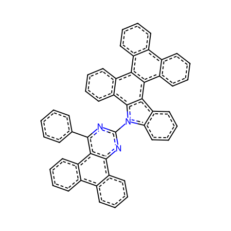 c1ccc(-c2nc(-n3c4ccccc4c4c5c6ccccc6c6ccccc6c5c5ccccc5c43)nc3c4ccccc4c4ccccc4c23)cc1